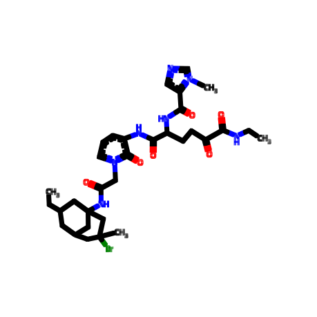 CCNC(=O)C(=O)CCC(NC(=O)c1cncn1C)C(=O)Nc1cccn(CC(=O)NC23CC(CC)CC(CC(C)(Br)C2)C3)c1=O